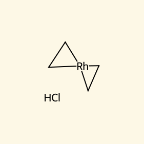 Cl.[CH2]1[CH2][Rh]12[CH2][CH2]2